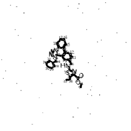 CCOC(=O)c1nc(NCc2ccc(-c3ccccc3)c(-c3nnnn3Cc3ccccc3)c2)sc1CC